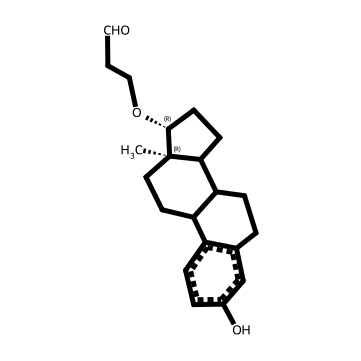 C[C@@]12CCC3c4ccc(O)cc4CCC3C1CC[C@H]2OCCC=O